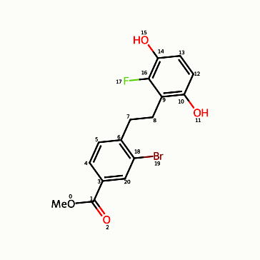 COC(=O)c1ccc(CCc2c(O)ccc(O)c2F)c(Br)c1